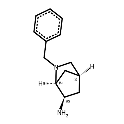 N[C@@H]1C[C@H]2C[C@@H]1N(Cc1ccccc1)C2